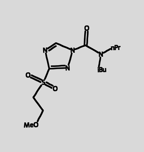 CCCN(C(=O)n1cnc(S(=O)(=O)CCOC)n1)C(C)CC